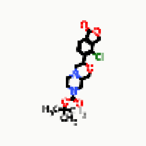 CC(C)(C)OC(=O)N1CCN2CC(c3ccc4c(c3Cl)COC4=O)OCC2C1